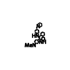 CNc1ccc2c(c1)NC(=O)C2=C(Nc1ccc(CN2CCCCC2)cc1)c1ccccc1